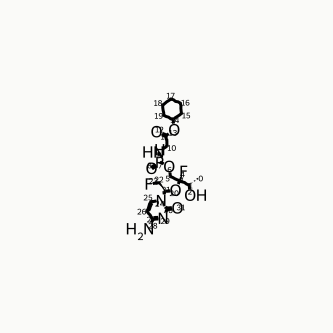 C[C@H](O)[C@@](F)(CO[PH](=O)NCC(=O)OC1CCCCC1)O[C@H](CF)n1ccc(N)nc1=O